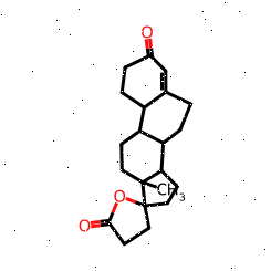 CC12CCC3C4CCC(=O)C=C4CCC3C1CCC21CCC(=O)O1